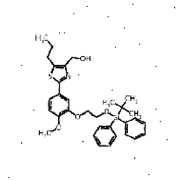 CCCc1sc(-c2ccc(OC)c(OCCO[Si](c3ccccc3)(c3ccccc3)C(C)(C)C)c2)nc1CO